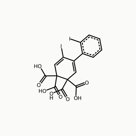 O=C(O)C1(C(=O)O)C=C(I)C(c2ccccc2I)=CC1(C(=O)O)C(=O)O